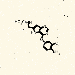 Nc1ccc(Oc2ncnc3cc(CNC(=O)O)[nH]c23)cc1Cl